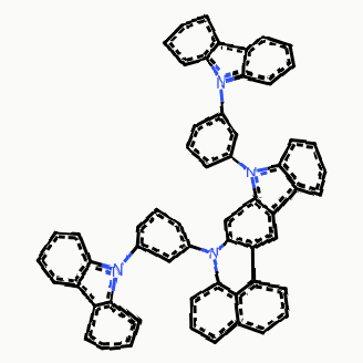 c1cc(N2c3cc4c(cc3-c3cccc5cccc2c35)c2ccccc2n4-c2cccc(-n3c4ccccc4c4ccccc43)c2)cc(-n2c3ccccc3c3ccccc32)c1